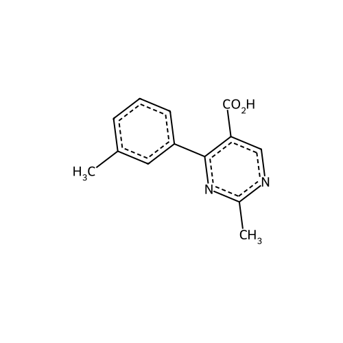 Cc1cccc(-c2nc(C)ncc2C(=O)O)c1